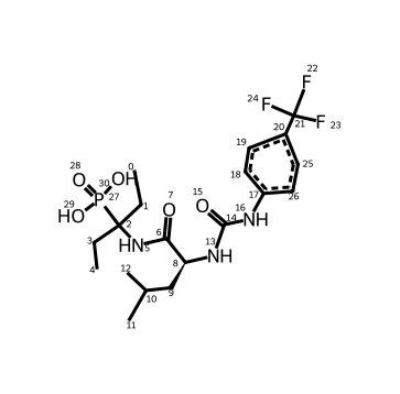 CCC(CC)(NC(=O)[C@H](CC(C)C)NC(=O)Nc1ccc(C(F)(F)F)cc1)P(=O)(O)O